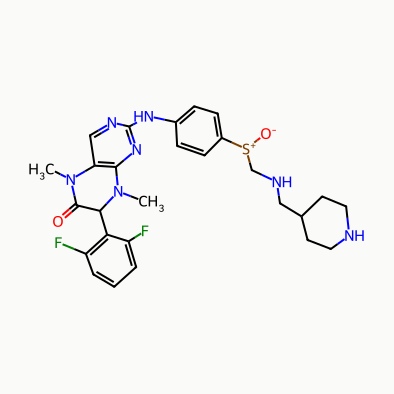 CN1C(=O)C(c2c(F)cccc2F)N(C)c2nc(Nc3ccc([S+]([O-])CNCC4CCNCC4)cc3)ncc21